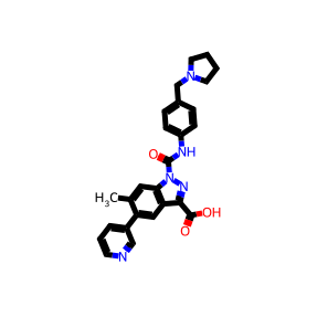 Cc1cc2c(cc1-c1cccnc1)c(C(=O)O)nn2C(=O)Nc1ccc(CN2CCCC2)cc1